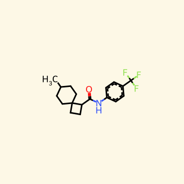 CC1CCC2(CC1)CCC2C(=O)Nc1ccc(C(F)(F)F)cc1